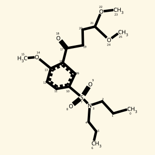 CCCN(CCC)S(=O)(=O)c1ccc(OC)c(C(=O)CCC(OC)OC)c1